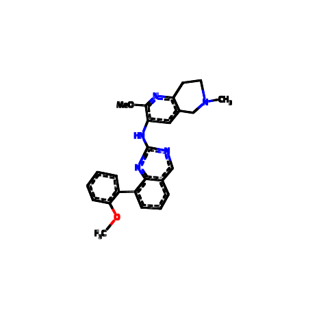 COc1nc2c(cc1Nc1ncc3cccc(-c4ccccc4OC(F)(F)F)c3n1)CN(C)CC2